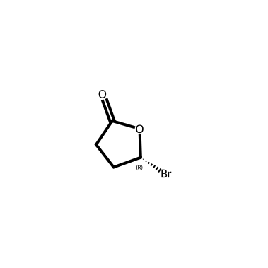 O=C1CC[C@@H](Br)O1